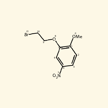 COc1ccc([N+](=O)[O-])cc1OCCBr